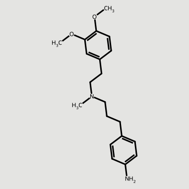 COc1ccc(CCN(C)CCCc2ccc(N)cc2)cc1OC